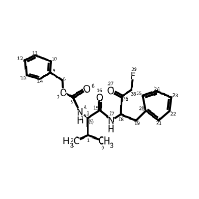 CC(C)[C@H](NC(=O)OCc1ccccc1)C(=O)NC(Cc1ccccc1)C(=O)CF